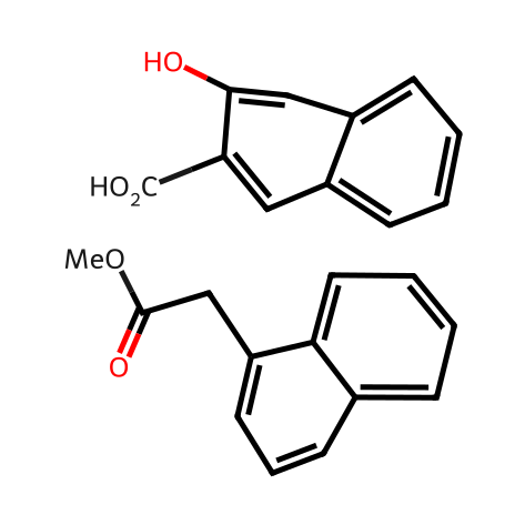 COC(=O)Cc1cccc2ccccc12.O=C(O)c1cc2ccccc2cc1O